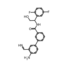 N=Cc1cc(-c2cccc(C(=O)NC(CO)c3cc(F)ccc3F)c2)ccc1N